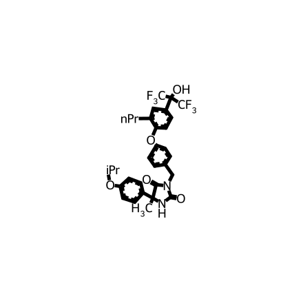 CCCc1cc(C(O)(C(F)(F)F)C(F)(F)F)ccc1Oc1ccc(CN2C(=O)NC(C)(c3ccc(OC(C)C)cc3)C2=O)cc1